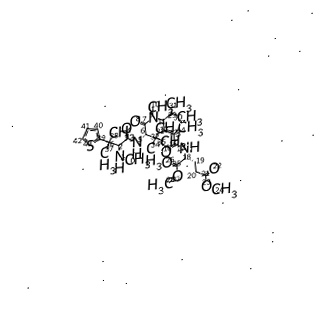 CN[C@H](C(=O)N[C@H](C(=O)N(C)[C@H](/C=C(\C)C(=O)N[C@H](CCC(=O)OC)C(=O)OC)C(C)C)C(C)(C)C)C(C)(C)c1cccs1